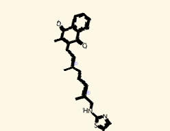 CC1=C(C/C=C(\C)CC/C=C(\C)CNc2nccs2)C(=O)c2ccccc2C1=O